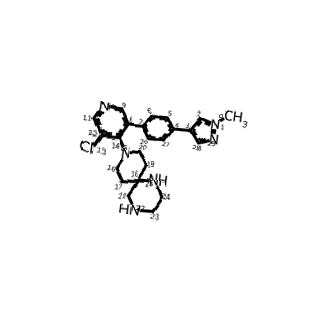 Cn1cc(-c2ccc(-c3cncc(Cl)c3N3CCC4(CC3)CNCCN4)cc2)cn1